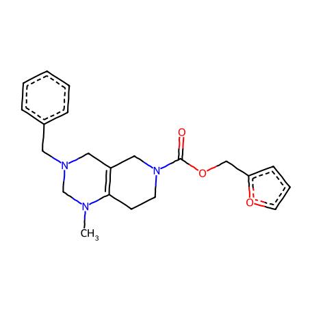 CN1CN(Cc2ccccc2)CC2=C1CCN(C(=O)OCc1ccco1)C2